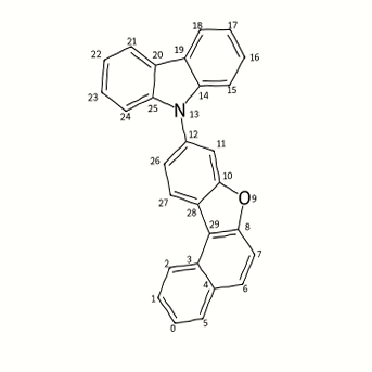 c1ccc2c(c1)ccc1oc3cc(-n4c5ccccc5c5ccccc54)ccc3c12